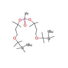 CC(C)P(=O)(OC(C)(C)CCOC(C)(C)[Si](C)(C)C(C)(C)C)OC(C)(C)CCOC(C)(C)[Si](C)(C)C(C)(C)C